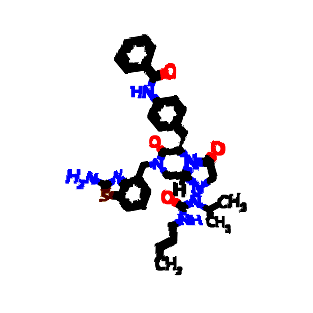 CCCCNC(=O)N(C(C)C)N1CC(=O)N2[C@@H](Cc3ccc(NC(=O)c4ccccc4)cc3)C(=O)N(Cc3cccc4sc(N)nc34)C[C@@H]21